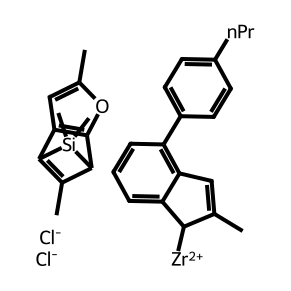 CC1=C2c3cc(C)oc3C1[Si]2(C)C.CCCc1ccc(-c2cccc3c2C=C(C)[CH]3[Zr+2])cc1.[Cl-].[Cl-]